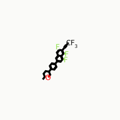 CC1CCC(c2ccc(-c3cc(F)c4c(F)c(C#CC(F)(F)F)c(F)cc4c3)cc2)CO1